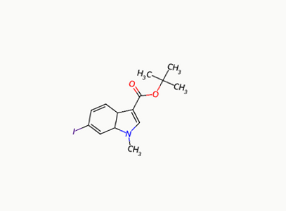 CN1C=C(C(=O)OC(C)(C)C)C2C=CC(I)=CC21